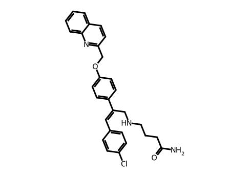 NC(=O)CCCNCC(=Cc1ccc(Cl)cc1)c1ccc(OCc2ccc3ccccc3n2)cc1